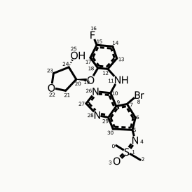 CS(C)(=O)=Nc1cc(Br)c2c(Nc3ccc(F)cc3O[C@H]3COC[C@@H]3O)ncnc2c1